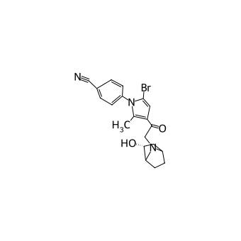 Cc1c(C(=O)CN2C3CCC2[C@H](O)C3)cc(Br)n1-c1ccc(C#N)cc1